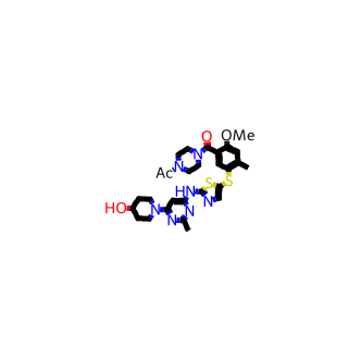 COc1cc(C)c(Sc2cnc(Nc3cc(N4CCC(O)CC4)nc(C)n3)s2)cc1C(=O)N1CCN(C(C)=O)CC1